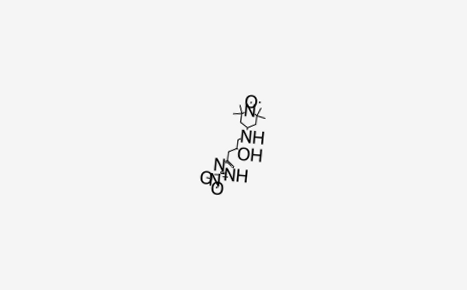 CC1(C)CC(NCC(O)Cc2c[nH]c([N+](=O)[O-])n2)CC(C)(C)N1[O]